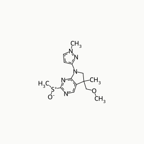 COCC1(C)CN(c2ccn(C)n2)c2nc([S+](C)[O-])ncc21